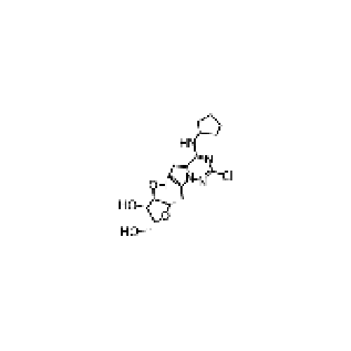 OC[C@H]1O[C@@H](Cc2ccc3c(NC4CCCC4)nc(Cl)nn23)[C@H](O)[C@@H]1O